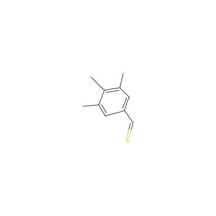 Cc1cc(C=S)cc(C)c1C